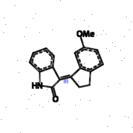 COc1ccc2c(c1)/C(=C1/C(=O)Nc3ccccc31)CC2